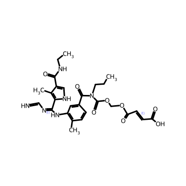 CCCN(C(=O)OCOC(=O)/C=C/C(=O)O)C(=O)c1ccc(C)c(N/C(=N/C=N)c2[nH]cc(C(=O)NCC)c2C)c1